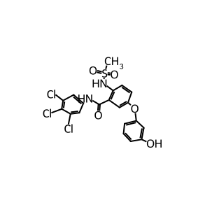 CS(=O)(=O)Nc1ccc(Oc2cccc(O)c2)cc1C(=O)Nc1cc(Cl)c(Cl)c(Cl)c1